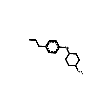 CCCc1ccc(NC2CCC(N)CC2)cc1